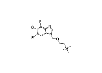 COc1c(Br)cc2c(ncn2COCC[Si](C)(C)C)c1F